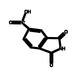 O=C1NC(=O)c2cc([N+](=O)O)ccc21